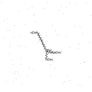 [CH2]C(CCCCCCCCCCCCCCC)(CCCCCCCCCCCCCCC)CCCCCCCCCCCCCCCCCCCCCCCCCC